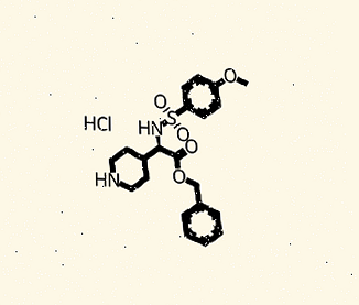 COc1ccc(S(=O)(=O)N[C@@H](C(=O)OCc2ccccc2)C2CCNCC2)cc1.Cl